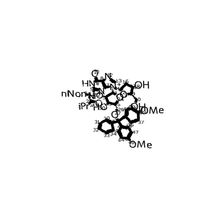 CCCCCCCCCN(C(=O)C(C)C)c1nc2c(c(=O)[nH]1)N=C[N+]2([C@@H]1C[C@H](O)[C@@H](CO)O1)[C@@H]1O[C@H](COC(c2ccccc2)(c2ccc(OC)cc2)c2ccc(OC)cc2)[C@@H](O)[C@H]1O